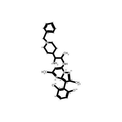 Cc1cc(NC(C)C(N)C2CCN(Cc3ccccc3)CC2)n2nc(C)c(-c3c(Cl)cccc3Cl)c2n1